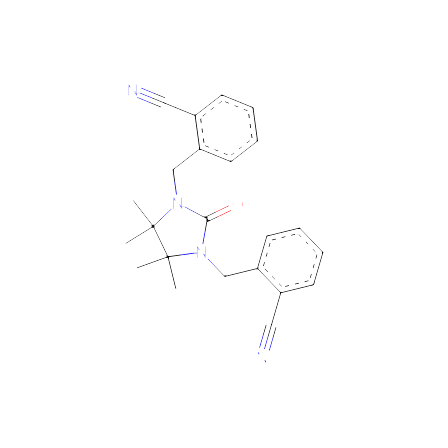 CC1(C)N(Cc2ccccc2C#N)C(=O)N(Cc2ccccc2C#N)C1(C)C